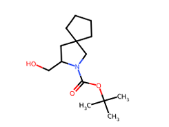 CC(C)(C)OC(=O)N1CC2(CCCC2)CC1CO